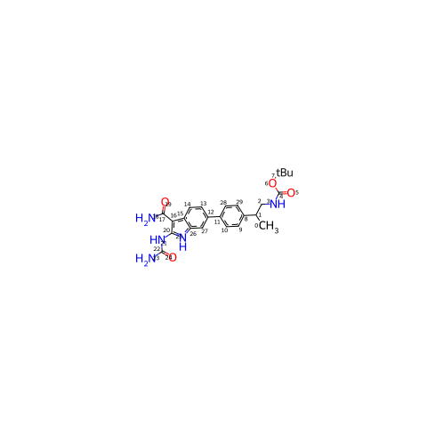 CC(CNC(=O)OC(C)(C)C)c1ccc(-c2ccc3c(C(N)=O)c(NC(N)=O)[nH]c3c2)cc1